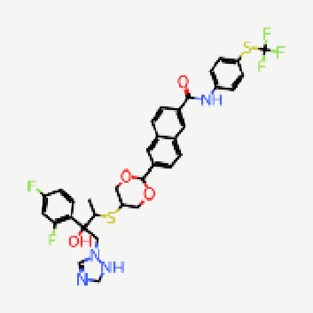 CC(SC1COC(c2ccc3cc(C(=O)Nc4ccc(SC(F)(F)F)cc4)ccc3c2)OC1)C(O)(CN1C=NCN1)c1ccc(F)cc1F